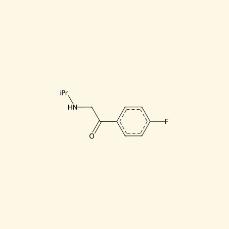 CC(C)NCC(=O)c1ccc(F)cc1